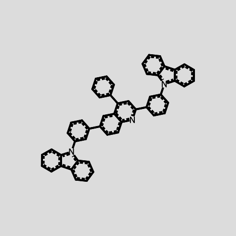 c1ccc(-c2cc(-c3cccc(-n4c5ccccc5c5ccccc54)c3)nc3ccc(-c4cccc(-n5c6ccccc6c6ccccc65)c4)cc23)cc1